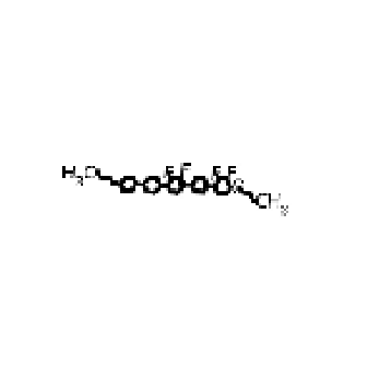 CCCCCC1CCC(C2CCC(c3ccc(-c4ccc(-c5ccc(OCCCC)c(F)c5F)cc4)c(F)c3F)CC2)CC1